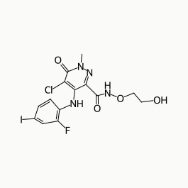 Cn1nc(C(=O)NOCCO)c(Nc2ccc(I)cc2F)c(Cl)c1=O